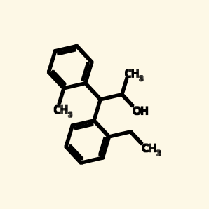 CCc1ccccc1C(c1ccccc1C)C(C)O